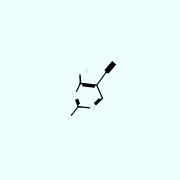 C#Cc1cnc(CC)nc1O